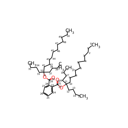 CCCCCCCCCCCC(CCCC)(CCCC)OC(=O)c1ccccc1C(=O)OC(CCCC)(CCCC)CCCCCCCCCCC